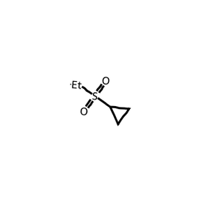 C[CH]S(=O)(=O)C1CC1